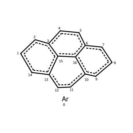 [Ar].c1cc2ccc3cccc4ccc(c1)c2c34